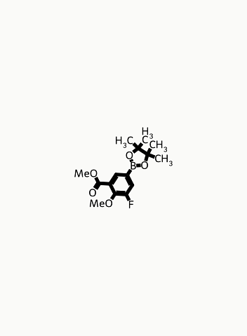 COC(=O)c1cc(B2OC(C)(C)C(C)(C)O2)cc(F)c1OC